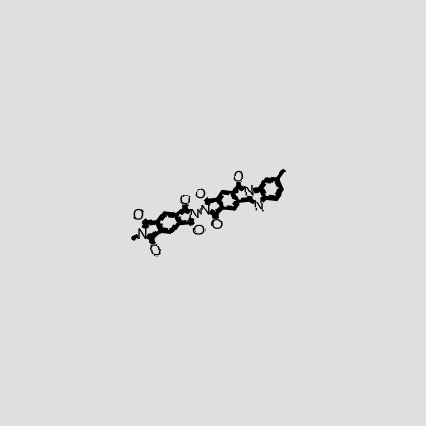 Cc1ccc2nc3c4cc5c(=O)n(-n6c(=O)c7cc8c(=O)n(C)c(=O)c8cc7c6=O)c(=O)c5cc4c(=O)n3c2c1